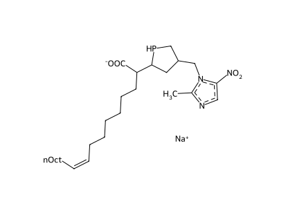 CCCCCCCC/C=C\CCCCCCC(C(=O)[O-])C1CC(Cn2c([N+](=O)[O-])cnc2C)CP1.[Na+]